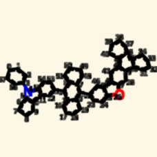 c1ccc(-n2c3ccccc3c3cc(-c4c5ccccc5c(-c5ccc6oc7cc8c9ccccc9c9ccccc9c8cc7c6c5)c5ccccc45)ccc32)cc1